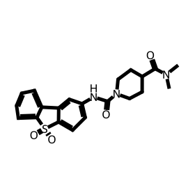 CN(C)C(=O)C1CCN(C(=O)Nc2ccc3c(c2)-c2ccccc2S3(=O)=O)CC1